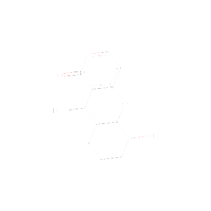 CC1=C2CCCC(O)C2Oc2ccoc(=O)c21